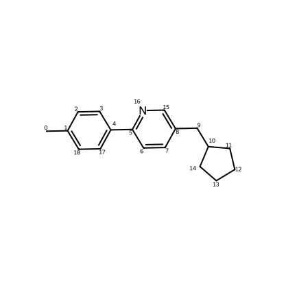 Cc1ccc(-c2ccc(CC3CCCC3)cn2)cc1